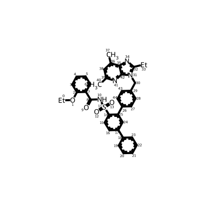 CCOc1ccccc1C(=O)NS(=O)(=O)c1ccc(-c2ccccc2)cc1-c1ccc(Cn2c(CC)nc3c(C)cc(C)nc32)cc1